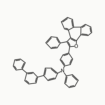 c1ccc(-c2cccc(-c3ccc(N(c4ccccc4)c4ccc(-c5oc6c7ccccc7c7ccccc7c6c5-c5ccccc5)cc4)cc3)c2)cc1